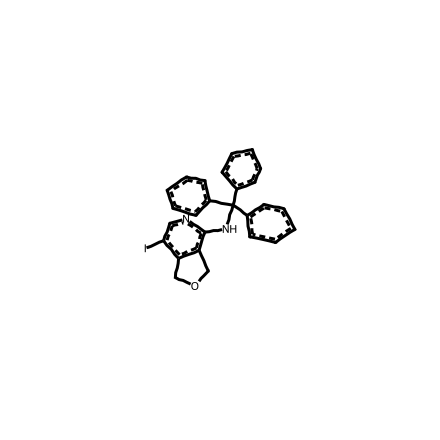 Ic1cnc(NC(c2ccccc2)(c2ccccc2)c2ccccc2)c2c1COC2